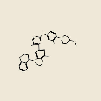 CN(C)C1CCN(c2ccc(Nc3ncc(F)c(-c4cc(F)c5c(c4)N(C4CCCc6ccccc64)CCO5)n3)cc2F)CC1